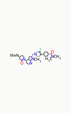 CNc1ccn(-c2ccnc3c2cc(CN2CC[C@H](c4ccc(C(=O)N(C)C)cc4)[C@H](F)C2)n3C)c(=O)c1